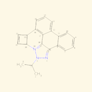 CC(C)n1nc2c3ccccc3c3cccc4c3c2[n+]1C1C=CC41